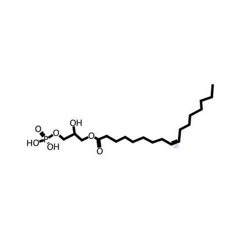 CCCCCCC/C=C\CCCCCCCC(=O)OCC(O)COP(=O)(O)O